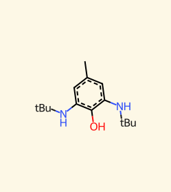 Cc1cc(NC(C)(C)C)c(O)c(NC(C)(C)C)c1